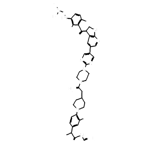 C=CNC(=C)C(CCC)c1ccc(N2CCC(CC(=C)N3CCN(c4ncc(-c5cnc6c(c5)C(C(=O)c5c(F)ccc(NSN(C)CC)c5F)CN6)cn4)CC3)CC2)c(F)c1